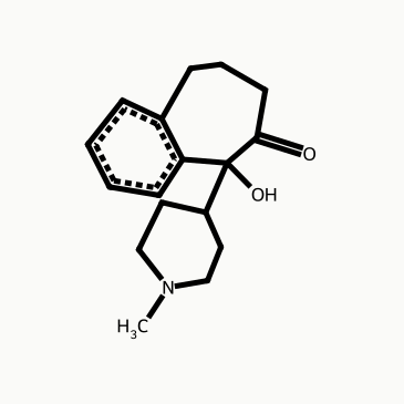 CN1CCC(C2(O)C(=O)CCCc3ccccc32)CC1